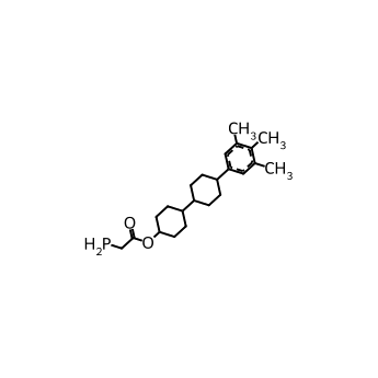 Cc1cc(C2CCC(C3CCC(OC(=O)CP)CC3)CC2)cc(C)c1C